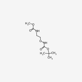 COC(=O)NCCONC(=O)OC(C)(C)C